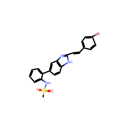 CS(=O)(=O)Nc1ccccc1-c1ccc2[nH]c(C=Cc3ccc(Br)cc3)nc2c1